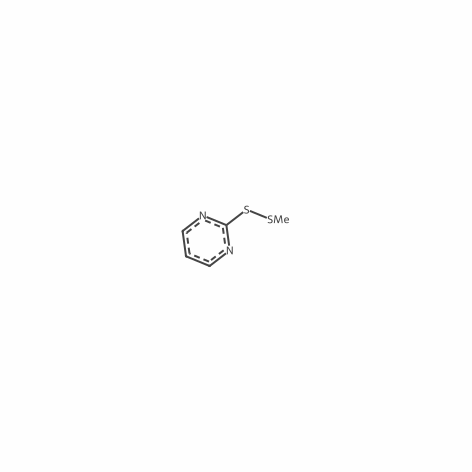 CSSc1ncccn1